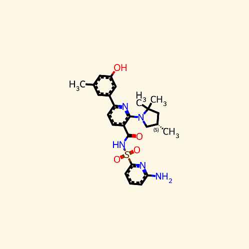 Cc1cc(O)cc(-c2ccc(C(=O)NS(=O)(=O)c3cccc(N)n3)c(N3C[C@@H](C)CC3(C)C)n2)c1